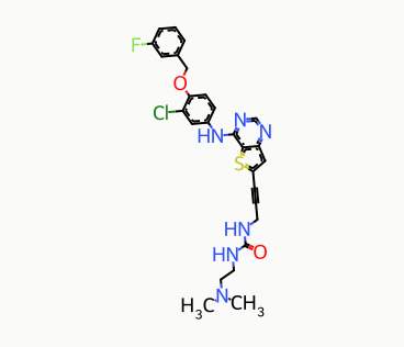 CN(C)CCNC(=O)NCC#Cc1cc2ncnc(Nc3ccc(OCc4cccc(F)c4)c(Cl)c3)c2s1